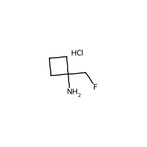 Cl.NC1(CF)CCC1